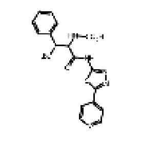 CC(C)(C)[C@@H](c1ccccc1)C(NC(=O)O)C(=O)Nc1nnc(-c2ccncc2)s1